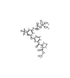 COC(=O)[C@@H]1CCCN1C(=O)c1cccc(Oc2cc(CNC(=O)OC(C)(C)C)cc(C(F)(F)F)n2)c1